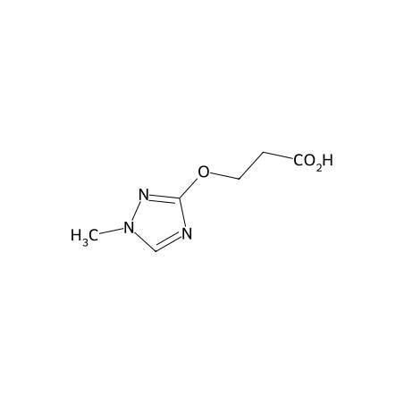 Cn1cnc(OCCC(=O)O)n1